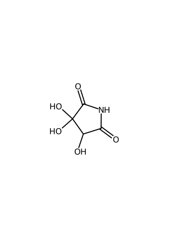 O=C1NC(=O)C(O)(O)C1O